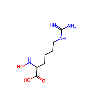 N=C(N)NCCCCC(NO)C(=O)O